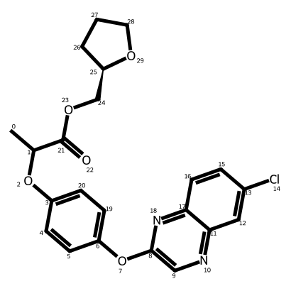 CC(Oc1ccc(Oc2cnc3cc(Cl)ccc3n2)cc1)C(=O)OC[C@H]1CCCO1